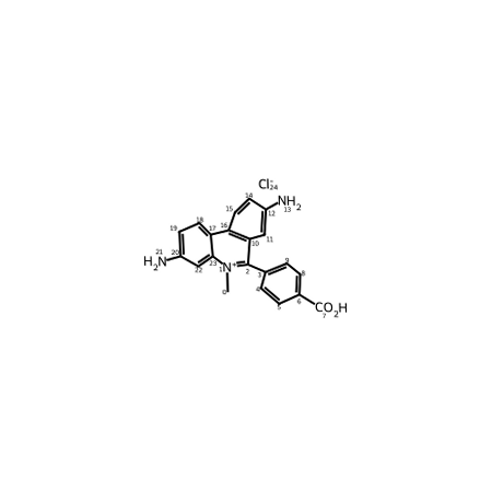 C[n+]1c(-c2ccc(C(=O)O)cc2)c2cc(N)ccc2c2ccc(N)cc21.[Cl-]